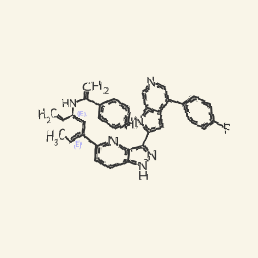 C=C/C(=C\C(=C/C)c1ccc2[nH]nc(-c3cc4c(-c5ccc(F)cc5)cncc4[nH]3)c2n1)NC(=C)c1ccccc1